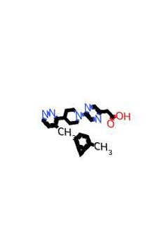 Cc1cccc2c1C2.Cc1ccnnc1C1CCN(c2cnc(CC(=O)O)cn2)CC1